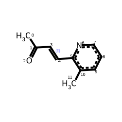 CC(=O)/C=C/c1ncccc1C